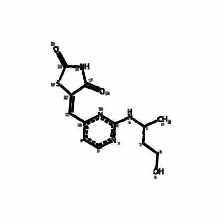 CC(CCO)Nc1nccc(/C=C2/SC(=O)NC2=O)n1